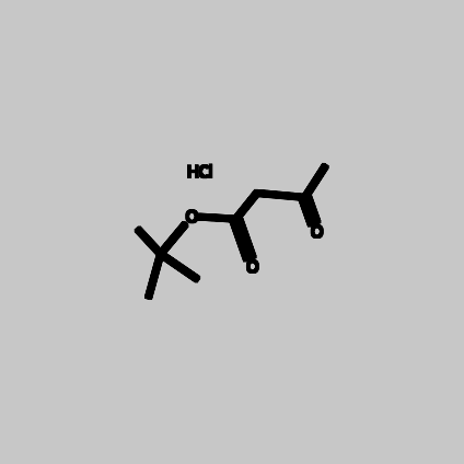 CC(=O)CC(=O)OC(C)(C)C.Cl